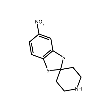 O=[N+]([O-])c1ccc2c(c1)SC1(CCNCC1)S2